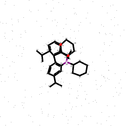 CC(C)c1ccc(-c2c(C(C)C)cccc2C(C)C)c(P(C2CCCCC2)C2CCCCC2)c1